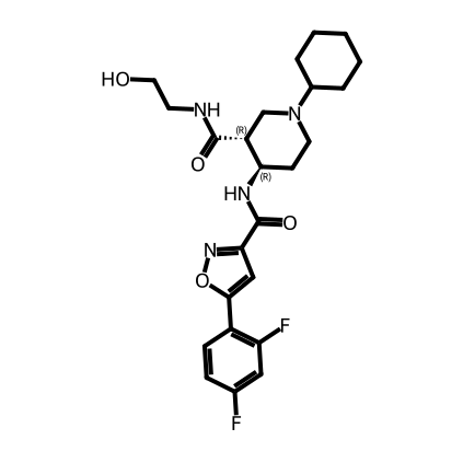 O=C(N[C@@H]1CCN(C2CCCCC2)C[C@H]1C(=O)NCCO)c1cc(-c2ccc(F)cc2F)on1